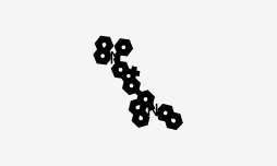 CC1(C)c2cc(-c3ccc4c5c3ccc3cccc(c35)n4-c3ccc4ccccc4c3)ccc2-c2ccc(N(c3ccccc3)c3cccc4ccccc34)cc21